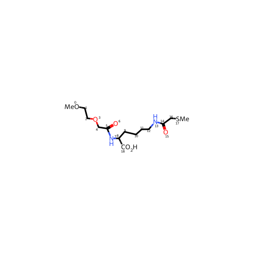 COCCOCC(=O)NC(CCCCNC(=O)CSC)C(=O)O